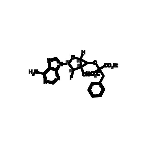 CCOC(=O)C(Cc1ccccc1)(OC1[C@H]2O[C@@H](n3cnc4c(N)ncnc43)[C@H](F)[C@@]12O)C(=O)OCC